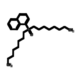 CCCCCCCCP(=O)(CCCCCCCC)c1cccc2ccccc12